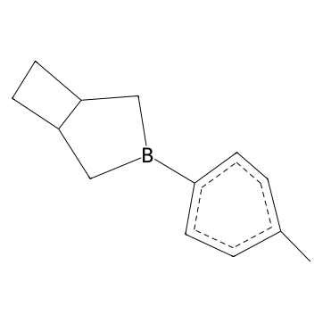 Cc1ccc(B2CC3CCC3C2)cc1